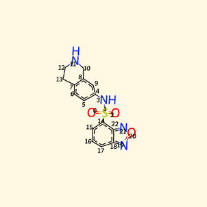 O=S(=O)(Nc1ccc2c(c1)CNCC2)c1cccc2nonc12